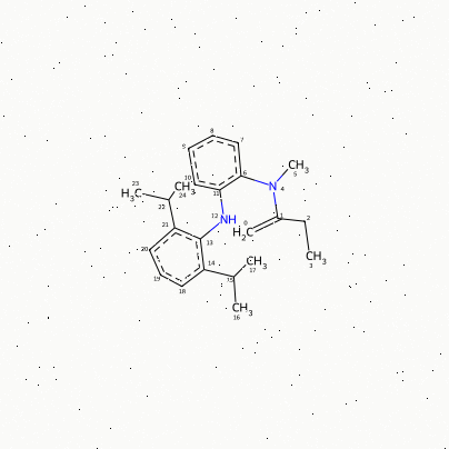 C=C(CC)N(C)c1ccccc1Nc1c(C(C)C)cccc1C(C)C